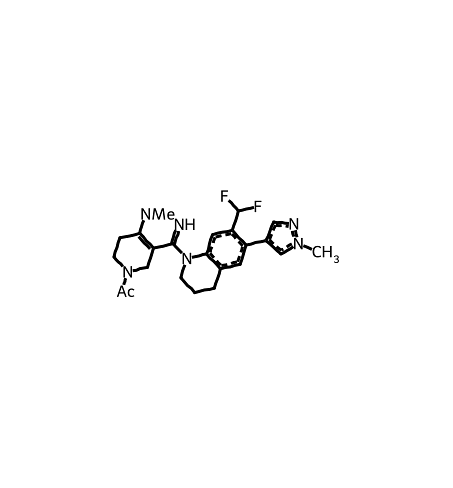 CNC1=C(C(=N)N2CCCc3cc(-c4cnn(C)c4)c(C(F)F)cc32)CN(C(C)=O)CC1